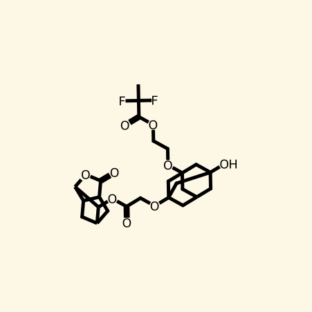 CC(F)(F)C(=O)OCCOC12CC3CC(O)(C1)CC(OCC(=O)OC1C4CC5C(=O)OC1C5C4)(C3)C2